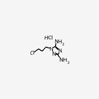 Cl.Nc1nc(N)n(CCCCl)n1